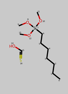 CCCCCCC[Si](OC)(OC)OC.OC=S